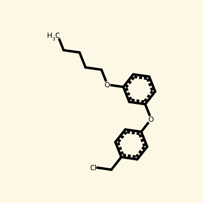 CCCCCOc1cccc(Oc2ccc(CCl)cc2)c1